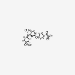 CCN(CC)C(=O)c1ccc(Oc2ncc([N+](=O)[O-])c(Oc3ccc(OC)cc3)n2)cc1